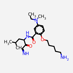 CCN(C)c1ccc(OCCCCCN)c(C(=O)NC(CC(C)C)C(=O)C=N)c1